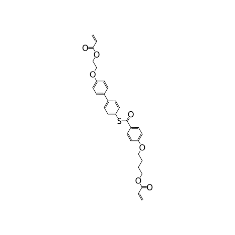 C=CC(=O)OCCCCOc1ccc(C(=O)Sc2ccc(-c3ccc(OCCOC(=O)C=C)cc3)cc2)cc1